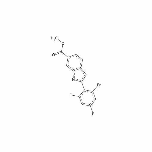 COC(=O)c1ccn2cc(-c3c(F)cc(F)cc3Br)nc2c1